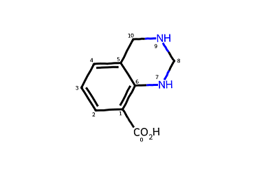 O=C(O)c1cccc2c1NCNC2